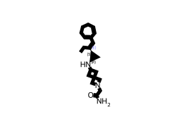 CC/C(=C\C1=CCCCC=C1)[C@@H]1C[C@H]1NC1CC2(C1)CN(CC(N)=O)C2